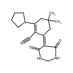 CC1(C)CC(=C2C(=O)NCNC2=O)C(C#N)=C(N2CCCC2)C1